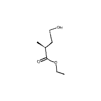 CCOC(=O)[C@@H](C)CCO